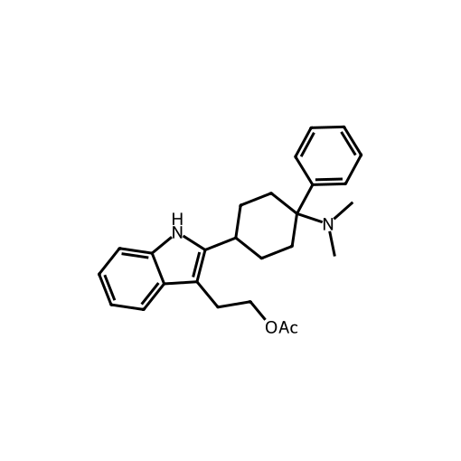 CC(=O)OCCc1c(C2CCC(c3ccccc3)(N(C)C)CC2)[nH]c2ccccc12